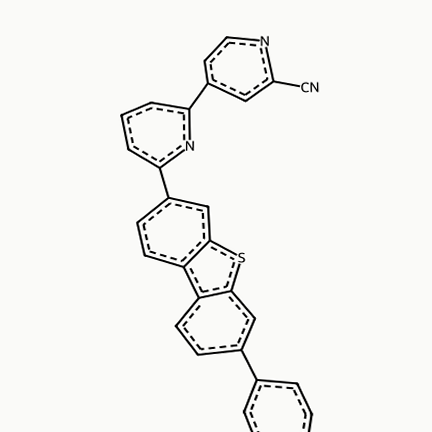 N#Cc1cc(-c2cccc(-c3ccc4c(c3)sc3cc(-c5ccccc5)ccc34)n2)ccn1